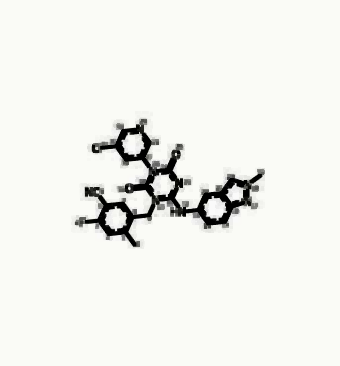 Cc1cc(F)c(C#N)cc1Cn1c(Nc2ccc3nn(C)cc3c2)nc(=O)n(-c2cncc(Cl)c2)c1=O